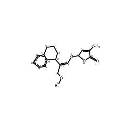 CCOC/C(=C/OC1C=C(C)C(=O)O1)C1CCCc2ccccc21